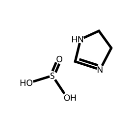 C1=NCCN1.O=S(O)O